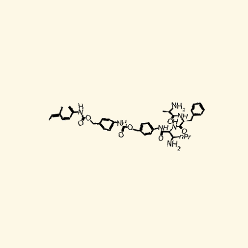 C=C(/C=C\C(C)=C/C)NC(=O)OCc1ccc(NC(=O)OCc2ccc(NC(=O)[C@@H](NC(=O)[C@H](Cc3ccccc3)NC(=O)[C@@H](C)N)C(N)CCC)cc2)cc1